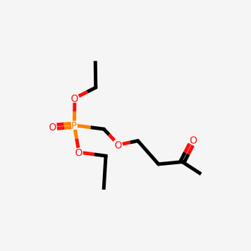 CCOP(=O)(COCCC(C)=O)OCC